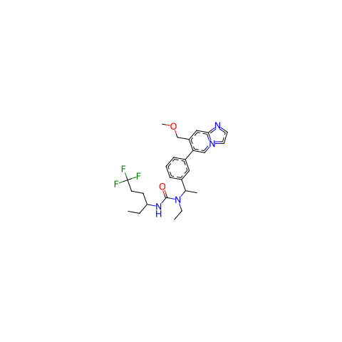 CCC(CCC(F)(F)F)NC(=O)N(CC)C(C)c1cccc(-c2cn3ccnc3cc2COC)c1